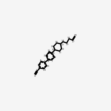 C#Cc1ccc(-c2ccc(C3CCC(CCCC=C)CC3)cc2)cc1